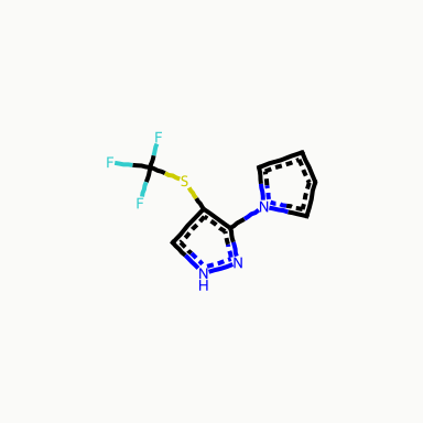 FC(F)(F)Sc1c[nH]nc1-n1cccc1